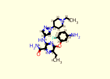 CCc1nc(C(N)=O)c(Nc2cnn(C3CCN(CC)CC3)c2)nc1Oc1cc(N)ccc1F